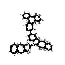 c1ccc2cc3c(cc2c1)nc1n3c2cc(-c3ccc4c5ccccc5c5ccccc5c4c3)cc3c4cc5ccccc5cc4n1c32